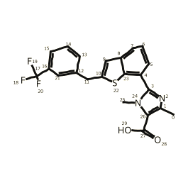 Cc1nc(-c2cccc3cc(Cc4cccc(C(F)(F)F)c4)sc23)n(C)c1C(=O)O